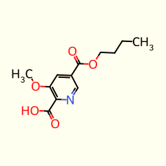 CCCCOC(=O)c1cnc(C(=O)O)c(OC)c1